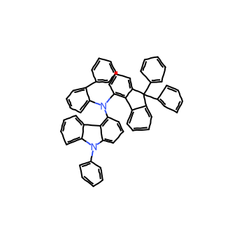 c1ccc(-c2ccccc2N(c2cccc3c2-c2ccccc2C3(c2ccccc2)c2ccccc2)c2cccc3c2c2ccccc2n3-c2ccccc2)cc1